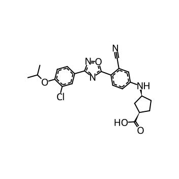 CC(C)Oc1ccc(-c2noc(-c3ccc(N[C@H]4CC[C@@H](C(=O)O)C4)cc3C#N)n2)cc1Cl